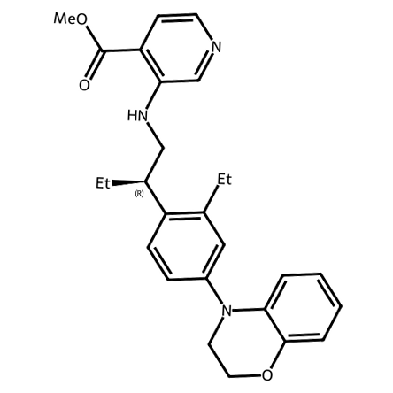 CCc1cc(N2CCOc3ccccc32)ccc1[C@@H](CC)CNc1cnccc1C(=O)OC